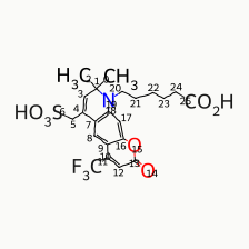 CC1(C)C=C(CS(=O)(=O)O)c2cc3c(C(F)(F)F)cc(=O)oc3cc2N1CCCCCC(=O)O